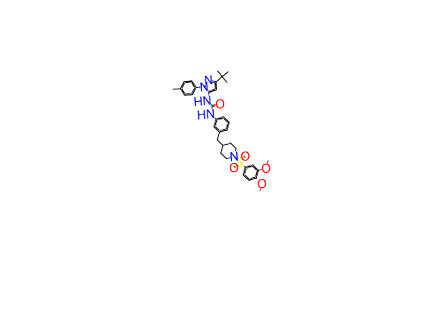 COc1ccc(S(=O)(=O)N2CCC(Cc3cccc(NC(=O)Nc4cc(C(C)(C)C)nn4-c4ccc(C)cc4)c3)CC2)cc1OC